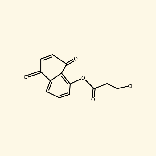 O=C(CCCl)Oc1cccc2c1C(=O)C=CC2=O